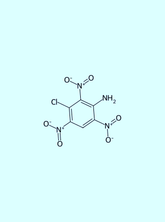 Nc1c([N+](=O)[O-])cc([N+](=O)[O-])c(Cl)c1[N+](=O)[O-]